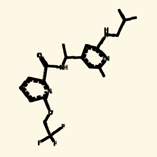 Cc1cc(C(C)NC(=O)c2cccc(OCC(F)(F)F)n2)cc(NCC(C)C)n1